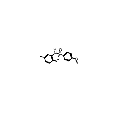 COc1ccc(S(=O)(=O)Nc2cc(C)ccc2C)cc1